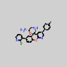 Cc1ccc(-c2cnc3c(c2)C2(CNC[C@@H](N)O2)c2cc(-c4cccnc4F)ccc2O3)cc1